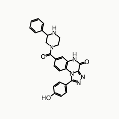 O=C(c1ccc2c(c1)[nH]c(=O)c1nnc(-c3ccc(O)cc3)n12)N1CCNC(c2ccccc2)C1